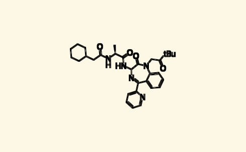 C[C@H](NC(=O)CC1CCCCC1)C(=O)NC1N=C(c2ccccn2)c2ccccc2N(CC(=O)C(C)(C)C)C1=O